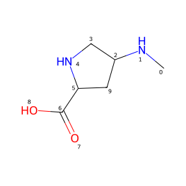 CNC1CNC(C(=O)O)C1